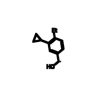 CCc1ccc([CH]O)cc1C1CC1